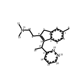 Cc1ccc2c(c1)CC(CCN(C)C)=C2C(C)c1cccnn1